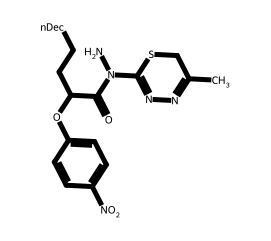 CCCCCCCCCCCCC(Oc1ccc([N+](=O)[O-])cc1)C(=O)N(N)C1=NN=C(C)CS1